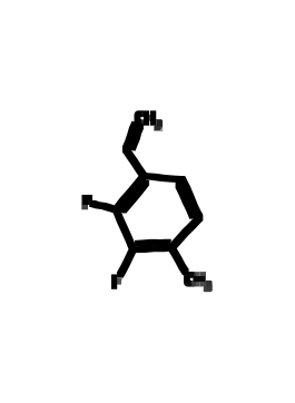 C=Cc1ccc(C)c(F)c1F